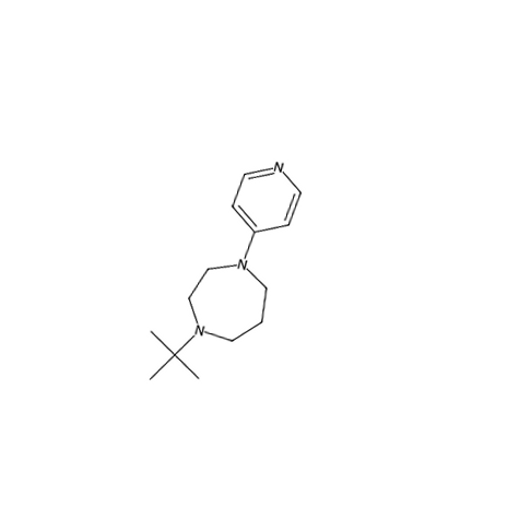 CC(C)(C)N1CCCN(c2ccncc2)CC1